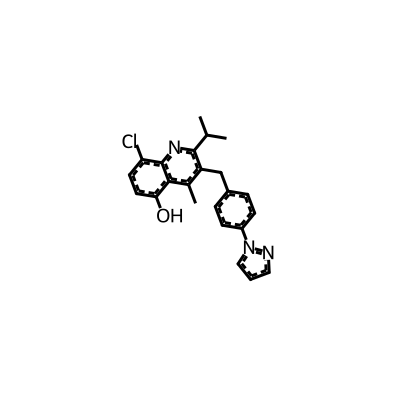 Cc1c(Cc2ccc(-n3cccn3)cc2)c(C(C)C)nc2c(Cl)ccc(O)c12